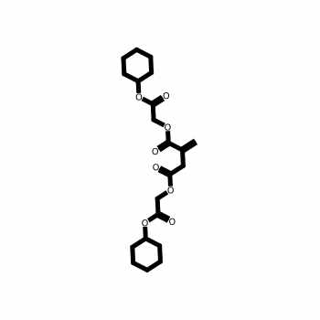 C=C(CC(=O)OCC(=O)OC1CCCCC1)C(=O)OCC(=O)OC1CCCCC1